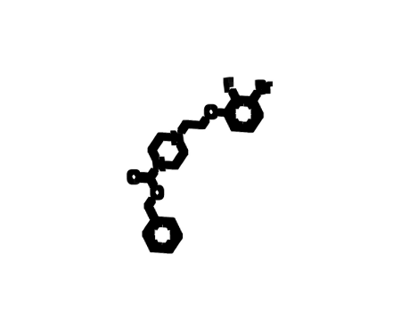 O=C(OCc1ccccc1)N1CCN(CCOc2cccc(Br)c2F)CC1